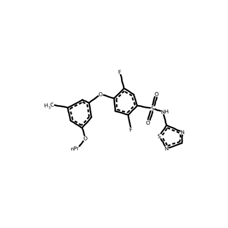 CCCOc1cc(C)cc(Oc2cc(F)c(S(=O)(=O)Nc3ncns3)cc2F)c1